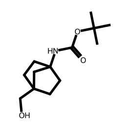 CC(C)(C)OC(=O)NC12CCC(CO)(CC1)C2